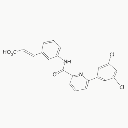 O=C(O)C=Cc1cccc(NC(=O)c2cccc(-c3cc(Cl)cc(Cl)c3)n2)c1